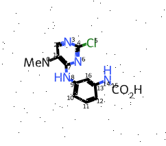 CNc1cnc(Cl)nc1Nc1cccc(NC(=O)O)c1